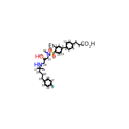 CCc1cc(-c2ccc(CCC(=O)O)cc2)ccc1S(=O)(=O)N(C)C[C@H](O)CNC(C)(C)CCCc1ccc(F)cc1